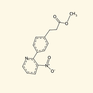 COC(=O)CCc1ccc(-c2ncccc2[N+](=O)[O-])cc1